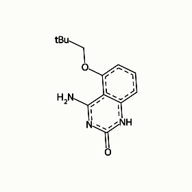 CC(C)(C)COc1cccc2[nH]c(=O)nc(N)c12